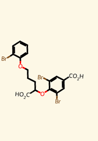 O=C(O)c1cc(Br)c(OC(CCCOc2ccccc2Br)C(=O)O)c(Br)c1